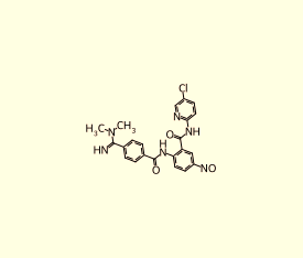 CN(C)C(=N)c1ccc(C(=O)Nc2ccc(N=O)cc2C(=O)Nc2ccc(Cl)cn2)cc1